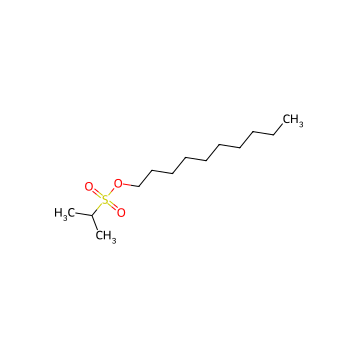 CCCCCCCCCCOS(=O)(=O)C(C)C